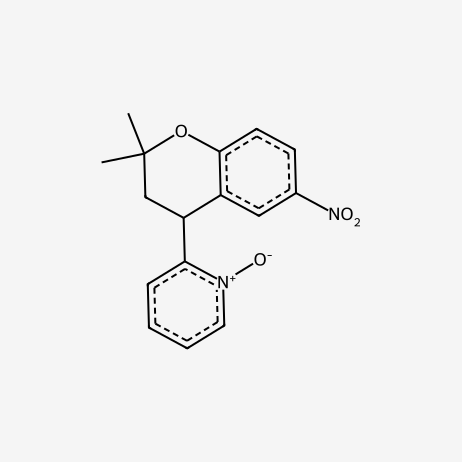 CC1(C)CC(c2cccc[n+]2[O-])c2cc([N+](=O)[O-])ccc2O1